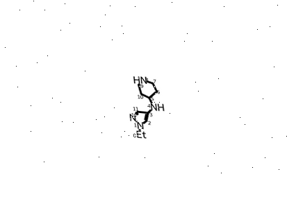 CCn1cc(NC2CCNCC2)cn1